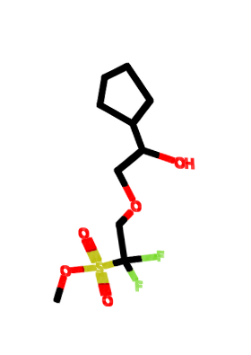 COS(=O)(=O)C(F)(F)COCC(O)C1CCCC1